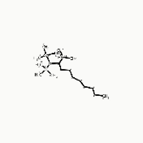 CCCCCCCCC(N([Si](C)(C)C)[Si](C)(C)C)[SiH](Cl)Cl